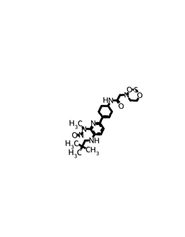 CN(N=O)c1nc(C2=CCC(NC(=O)CN3CCOSO3)CC2)ccc1NCC(C)(C)C